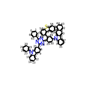 c1ccc(-c2nc(-c3ccc4c5ccccc5n(-c5ccccc5)c4c3)nc(-c3ccc(-n4c5ccccc5c5cc6ccccc6cc54)cc3-c3cccc4sc5ccccc5c34)n2)cc1